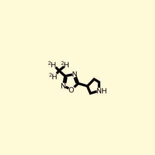 [2H]C([2H])([2H])c1noc(C2CCNC2)n1